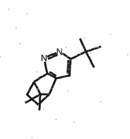 CC(C)(C)c1cc2c(nn1)C1CCC2C1(C)C